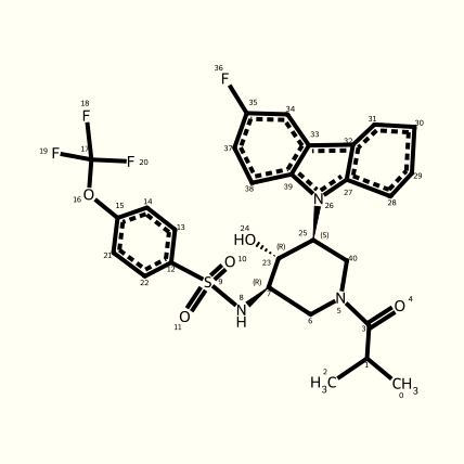 CC(C)C(=O)N1C[C@@H](NS(=O)(=O)c2ccc(OC(F)(F)F)cc2)[C@H](O)[C@@H](n2c3ccccc3c3cc(F)ccc32)C1